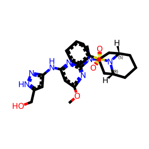 COc1cc(Nc2cc(CO)[nH]n2)nc(N(C)C2C[C@H]3CCC[C@@H](C2)N3S(=O)(=O)c2ccccc2)n1